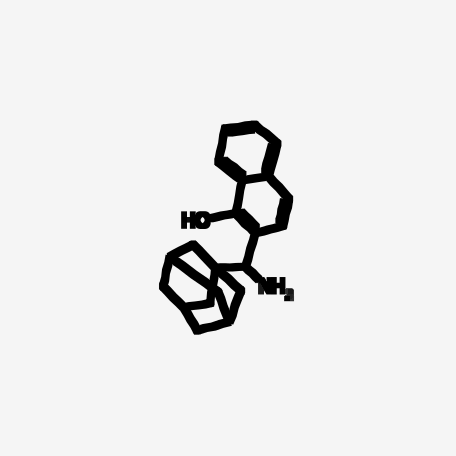 NC(c1ccc2ccccc2c1O)C12CC3CC(CC(C3)C1)C2